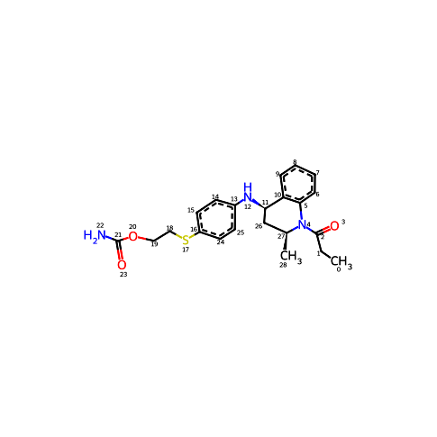 CCC(=O)N1c2ccccc2[C@H](Nc2ccc(SCCOC(N)=O)cc2)C[C@@H]1C